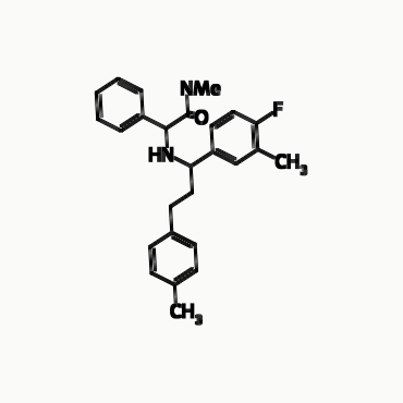 CNC(=O)C(NC(CCc1ccc(C)cc1)c1ccc(F)c(C)c1)c1ccccc1